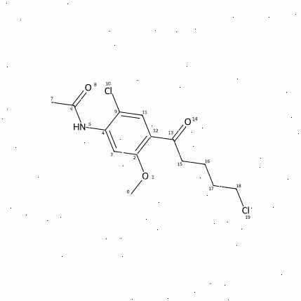 COc1cc(NC(C)=O)c(Cl)cc1C(=O)CCCCCl